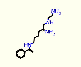 C=C(NCCCC[C@H](N)CNCCN)c1ccccc1